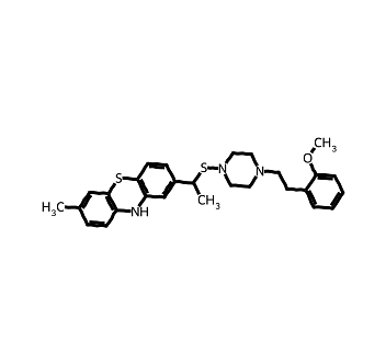 COc1ccccc1CCN1CCN(SC(C)c2ccc3c(c2)Nc2ccc(C)cc2S3)CC1